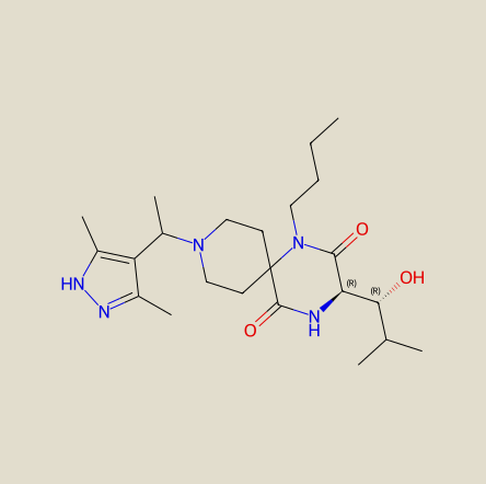 CCCCN1C(=O)[C@@H]([C@H](O)C(C)C)NC(=O)C12CCN(C(C)c1c(C)n[nH]c1C)CC2